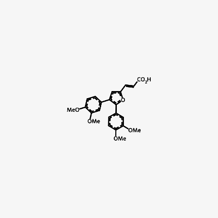 COc1ccc(-c2cc(/C=C/C(=O)O)oc2-c2ccc(OC)c(OC)c2)cc1OC